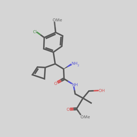 COC(=O)C(C)(CO)CNC(=O)[C@H](N)C(c1ccc(OC)c(Cl)c1)C1C=CC1